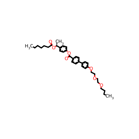 CCCCCCC(=O)O[C@@H](C)c1ccc(OC(=O)c2ccc(-c3ccc(OCCOCCOCCCC)cc3)cc2)cc1